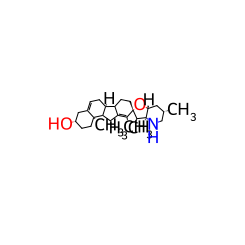 CC1=C2CC3[C@@H](CC=C4C[C@@H](O)CC[C@@]43C)C2CC[C@]12O[C@@H]1C[C@H](C)CN[C@H]1[C@H]2C